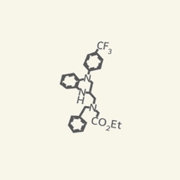 CCOC(=O)CN(Cc1ccccc1)CC1CN(c2ccc(C(F)(F)F)cc2)c2ccccc2N1